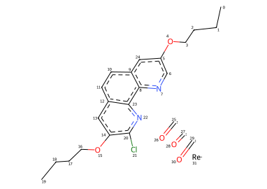 CCCCOc1cnc2c(ccc3cc(OCCCC)c(Cl)nc32)c1.[C]=O.[C]=O.[C]=O.[Re]